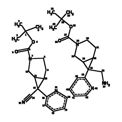 CC(C)(C)OC(=O)N1CCC2C(C1)C2(C#N)c1ccccn1.CC(C)(C)OC(=O)N1CCC2C(C1)C2(CN)c1ccccn1